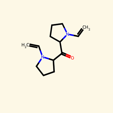 C=CN1CCCC1C(=O)C1CCCN1C=C